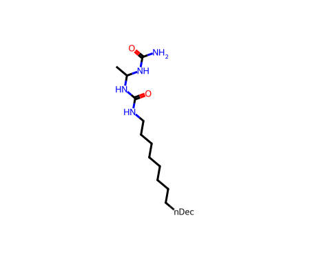 CCCCCCCCCCCCCCCCCCNC(=O)NC(C)NC(N)=O